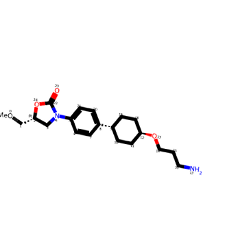 COC[C@H]1CN(c2ccc([C@H]3CC[C@H](OCCCN)CC3)cc2)C(=O)O1